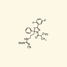 CCOC(C)C(=O)N1N=C(c2cc(F)ccc2F)SC1(CCCNC(=NC#N)NC)c1ccccc1